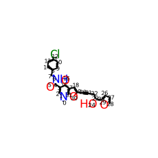 Cn1cc(C(=O)NCc2ccc(Cl)cc2)c(=O)c2cc(C#CCC(O)c3ccco3)oc21